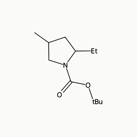 CCC1CC(C)CN1C(=O)OC(C)(C)C